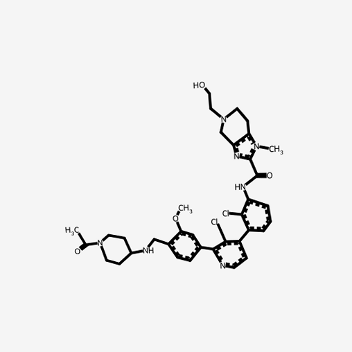 COc1cc(-c2nccc(-c3cccc(NC(=O)c4nc5c(n4C)CCN(CCO)C5)c3Cl)c2Cl)ccc1CNC1CCN(C(C)=O)CC1